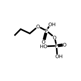 CCCOP(=O)(O)OP(=O)(O)O